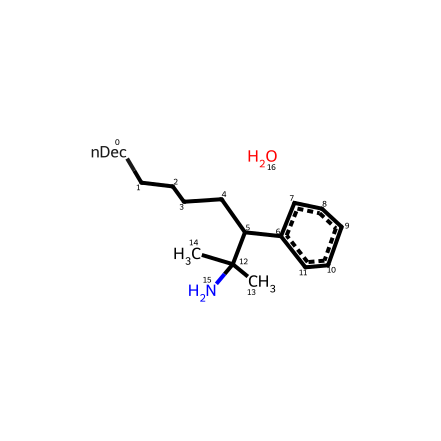 CCCCCCCCCCCCCCC(c1ccccc1)C(C)(C)N.O